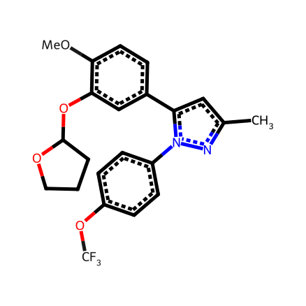 COc1ccc(-c2cc(C)nn2-c2ccc(OC(F)(F)F)cc2)cc1OC1CCCO1